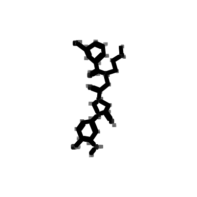 COCCN(CC(=O)N1CC(=O)N(c2ccc(Cl)c(OC)c2)C1)C(=O)c1cccc(Cl)c1